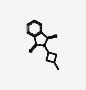 CC1CC(N2C(=O)c3ccccc3C2=O)C1